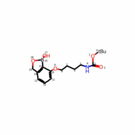 CC(C)(C)OC(=O)NCCCCOc1cccc2c1B(O)OC2